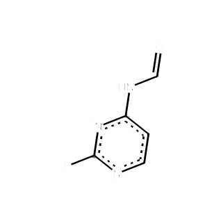 O=CNc1ccnc(F)n1